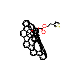 O=C(CCCC1(c2ccccc2)C23C4=c5ccc6c7ccc8c9ccc%10c%11ccc%12c%13c(c%14c%15c%16c(c6c5C%152)c7c8c2c9c%10c(c%13%11)c%14c%162)C13C%12C=C4)OCCc1ccsc1